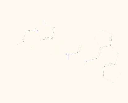 CC1Cn2ncc(S(=O)(=O)NC(=O)Nc3c4c(cc5c3CCC5)CCC4)c2O1